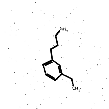 [CH2]Cc1cccc(CCCN)c1